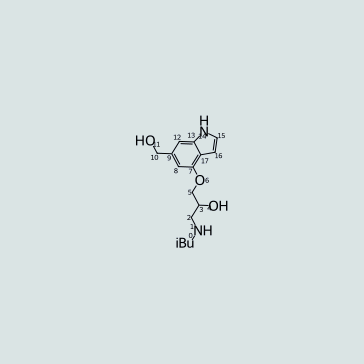 CCC(C)NCC(O)COc1cc(CO)cc2[nH]ccc12